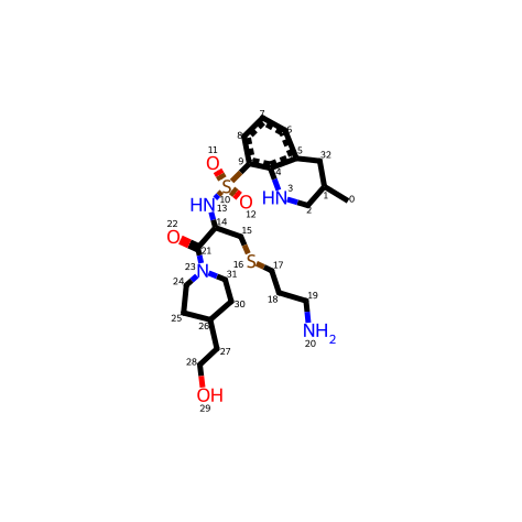 CC1CNc2c(cccc2S(=O)(=O)NC(CSCCCN)C(=O)N2CCC(CCO)CC2)C1